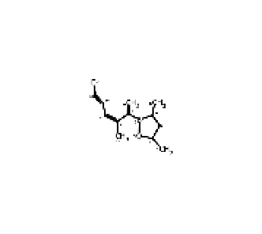 C=C(B1OC(C)CC1C)/C(C)=C\C=C\F